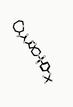 O=C(NC1CCCCCCC1)OC1=NOC2(CCN(S(=O)(=O)c3ccc(OC(F)(F)F)cc3)CC2)C1